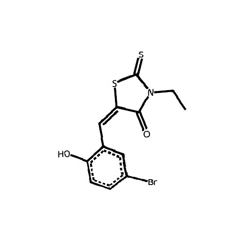 CCN1C(=O)/C(=C\c2cc(Br)ccc2O)SC1=S